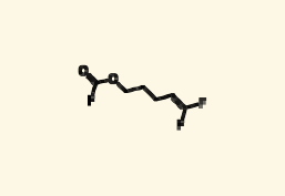 O=C(F)OCCCC=C(F)F